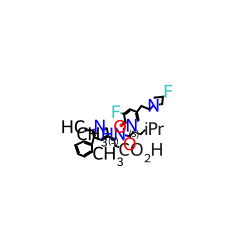 C#Cc1ncc([C@H](CC(=O)O)NC(=O)[C@H](CC(C)C)n2cc(CCN3CC(F)C3)cc(F)c2=O)cc1-c1c(C)cccc1C